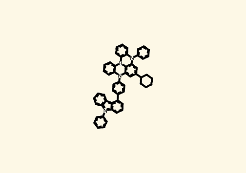 c1ccc(N2c3ccccc3B3c4ccccc4N(c4ccc(-c5cccc6c5c5ccccc5n6-c5ccccc5)cc4)c4cc(C5CCCCC5)cc2c43)cc1